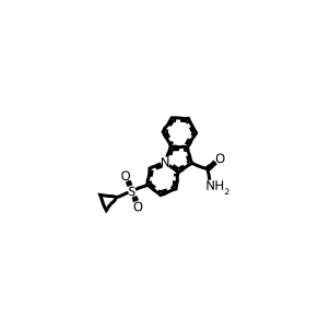 NC(=O)c1c2ccccc2n2cc(S(=O)(=O)C3CC3)ccc12